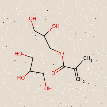 C=C(C)C(=O)OCC(O)CO.OCC(O)CO